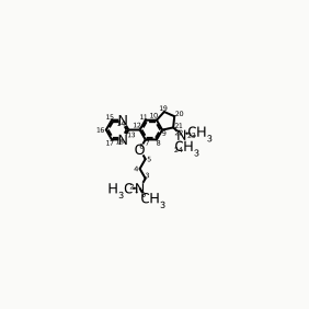 CN(C)CCCOc1cc2c(cc1-c1ncccn1)CCC2N(C)C